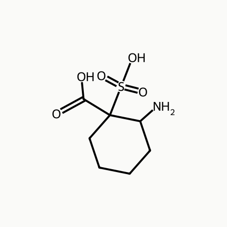 NC1CCCCC1(C(=O)O)S(=O)(=O)O